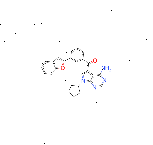 Nc1ncnc2c1c(C(=O)c1cccc(-c3cc4ccccc4o3)c1)cn2C1CCCC1